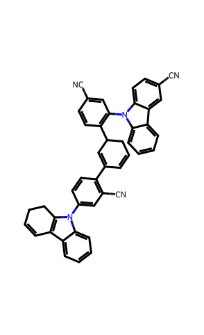 N#Cc1ccc(C2C=C(c3ccc(-n4c5c(c6ccccc64)C=CCC5)cc3C#N)C=CC2)c(-n2c3ccccc3c3cc(C#N)ccc32)c1